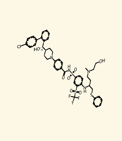 CN(CCO)CCC(CSc1ccccc1)Nc1ccc(S(=O)(=O)NC(=O)c2ccc(N3CCC([C@H](O)c4ccccc4-c4ccc(Cl)cc4)CC3)cc2)cc1S(=O)(=O)C(F)(F)F